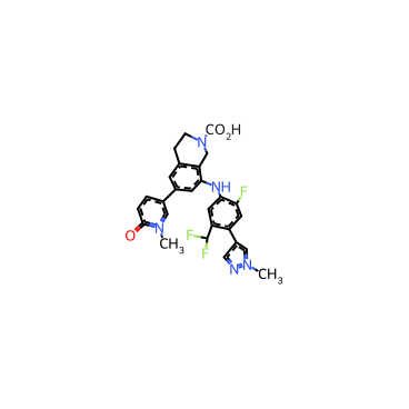 Cn1cc(-c2cc(F)c(Nc3cc(-c4ccc(=O)n(C)c4)cc4c3CN(C(=O)O)CC4)cc2C(F)F)cn1